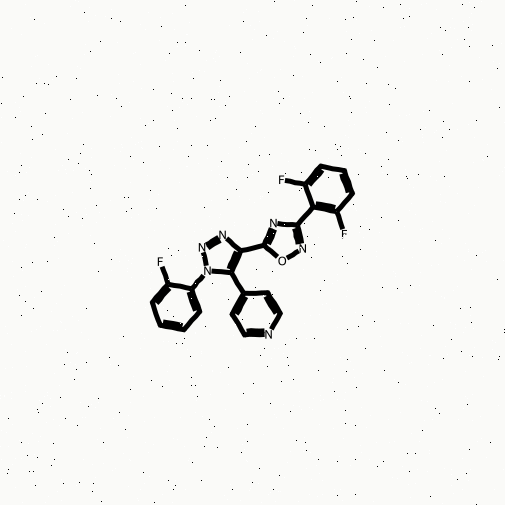 Fc1ccccc1-n1nnc(-c2nc(-c3c(F)cccc3F)no2)c1-c1ccncc1